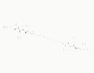 O=C(NCCCCCCCCCCCCNC(=O)[C@H](O)[C@@H](O)[C@H](O)[C@H](O)CO)[C@H](O)[C@@H](O)[C@H](O)[C@H](O)CO